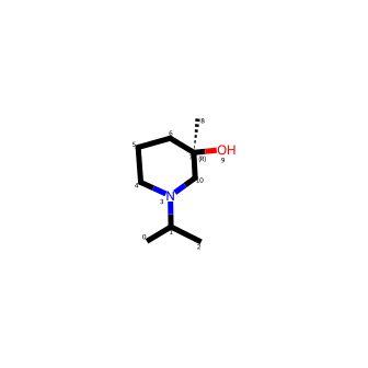 CC(C)N1CCC[C@@](C)(O)C1